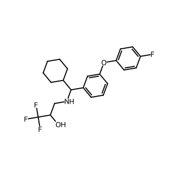 OC(CNC(c1cccc(Oc2ccc(F)cc2)c1)C1CCCCC1)C(F)(F)F